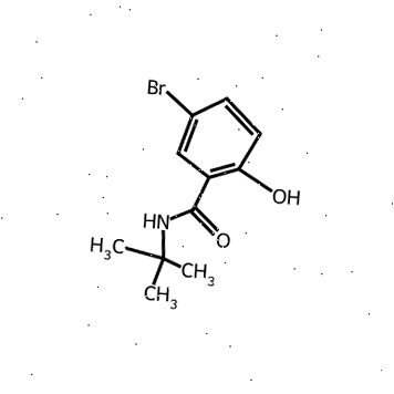 CC(C)(C)NC(=O)c1cc(Br)ccc1O